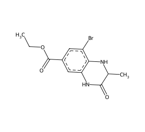 CCOC(=O)c1cc(Br)c2c(c1)NC(=O)C(C)N2